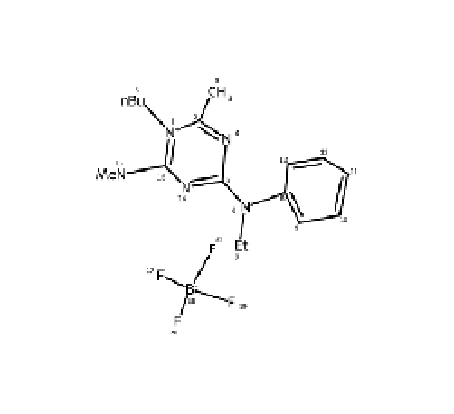 CCCC[n+]1c(C)nc(N(CC)c2ccccc2)nc1NC.F[B-](F)(F)F